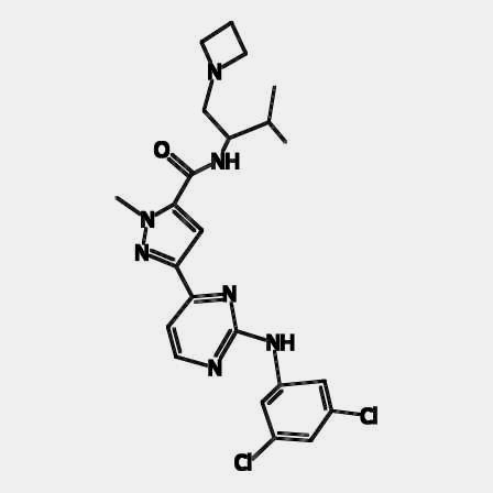 CC(C)C(CN1CCC1)NC(=O)c1cc(-c2ccnc(Nc3cc(Cl)cc(Cl)c3)n2)nn1C